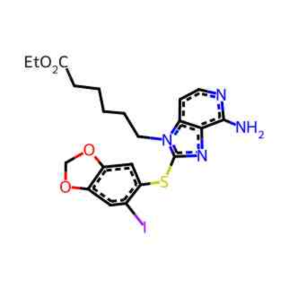 CCOC(=O)CCCCCn1c(Sc2cc3c(cc2I)OCO3)nc2c(N)nccc21